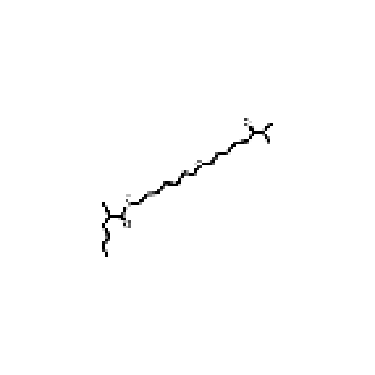 CCCCC(C)C(=O)NCCCCCCCOCCCCCC(=O)C(C)C